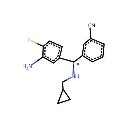 N#Cc1cccc([C@@H](NCC2CC2)c2ccc(F)c(N)c2)c1